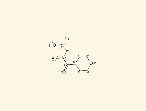 CCN(C[C@@H](C)O)C(=O)C1CCOCC1